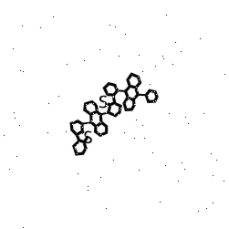 c1ccc(-c2c3ccccc3c(-c3cccc4sc5c(-c6c7ccccc7c(-c7cccc8c7sc7ccccc78)c7ccccc67)cccc5c34)c3ccccc23)cc1